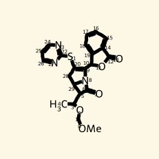 COCOC(C)C1C(=O)N2C(C3OC(=O)c4ccccc43)=C(Sc3ncccn3)CC12